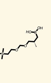 C[C@H](COCOCC[Si](C)(C)C)CB(O)O